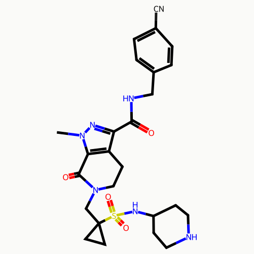 Cn1nc(C(=O)NCc2ccc(C#N)cc2)c2c1C(=O)N(CC1(S(=O)(=O)NC3CCNCC3)CC1)CC2